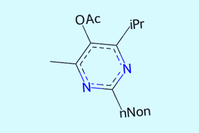 CCCCCCCCCc1nc(C)c(OC(C)=O)c(C(C)C)n1